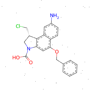 Nc1ccc2c(OCc3ccccc3)cc3c(c2c1)[C@@H](CCl)CN3C(=O)O